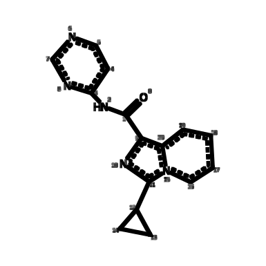 O=C(Nc1ccncn1)c1nc(C2CC2)n2ccccc12